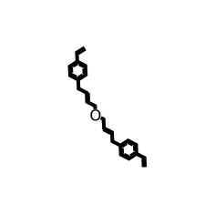 C=Cc1ccc(CC=CCOCC=CCc2ccc(C=C)cc2)cc1